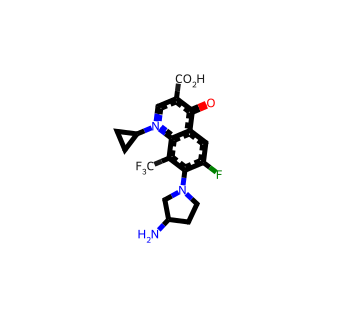 NC1CCN(c2c(F)cc3c(=O)c(C(=O)O)cn(C4CC4)c3c2C(F)(F)F)C1